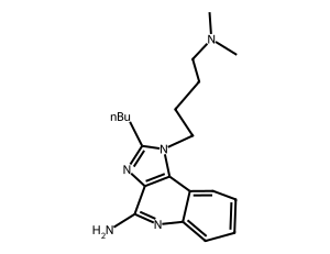 CCCCc1nc2c(N)nc3ccccc3c2n1CCCCN(C)C